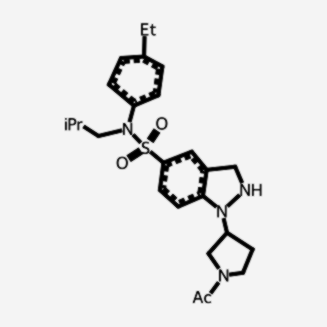 CCc1ccc(N(CC(C)C)S(=O)(=O)c2ccc3c(c2)CNN3C2CCN(C(C)=O)C2)cc1